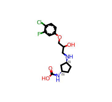 O=C(O)N[C@H]1CC[C@H](NCC(O)COc2ccc(Cl)c(F)c2)C1